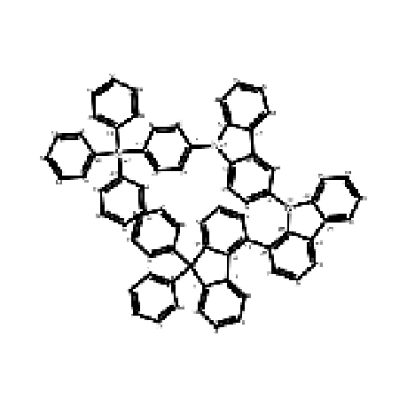 c1ccc(C2(c3ccccc3)c3ccccc3-c3c(-c4cccc5c6ccccc6n(-c6ccc7c(c6)c6ccccc6n7-c6ccc([Si](c7ccccc7)(c7ccccc7)c7ccccc7)cc6)c45)cccc32)cc1